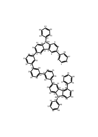 c1ccc(-c2ccc3c(c2)c2cc(-c4cccc(-c5cccc(-c6cccc(-c7ccc8c(c7)c7c(-c9ccccc9)cccc7n8-c7ccccc7)c6)c5)c4)ccc2n3-c2ccccc2)cc1